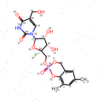 Cc1cc(C)c2c(c1)COP(=O)(OC[C@@]1(F)O[C@@H](n3cc(CO)c(=O)[nH]c3=O)[C@H](O)[C@@H]1O)O2